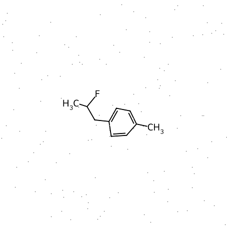 Cc1ccc(CC(C)F)cc1